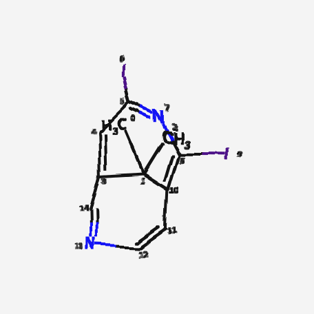 CC1(C)C2=CC(I)=NC(I)=C1C=CN=C2